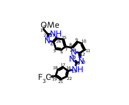 COCc1nc2ccc(-c3cccc4nc(Nc5ccc(C(F)(F)F)cc5)nn34)cc2[nH]1